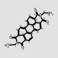 NCN1C(=O)c2ccc3c4ccc5c6c(ccc(c7ccc(c2c37)C1=O)c64)C(=O)N(CN)C5=O